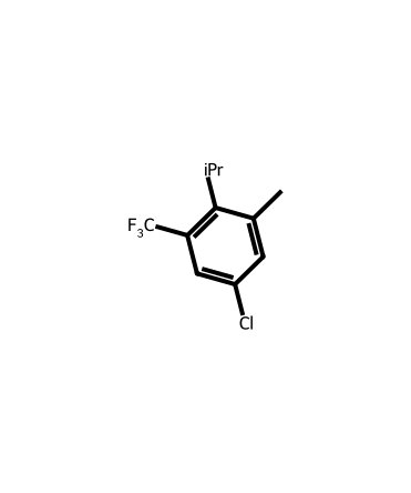 Cc1cc(Cl)cc(C(F)(F)F)c1C(C)C